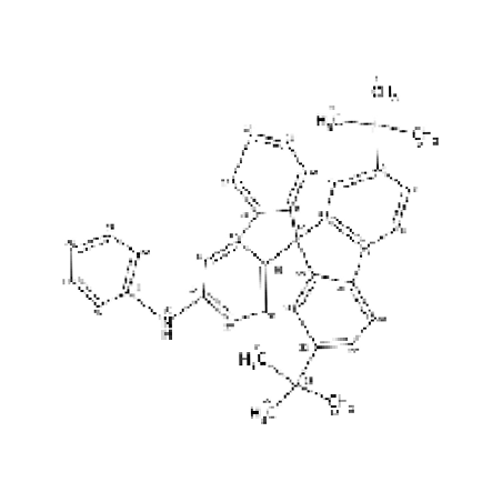 CC(C)(C)c1ccc2c(c1)C1(c3ccccc3-c3cc(Nc4ccccc4)ccc31)c1cc(C(C)(C)C)ccc1-2